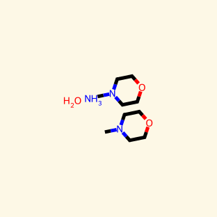 CN1CCOCC1.CN1CCOCC1.N.O